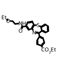 CCOCCNC(=O)c1ccc2c(c1)N=C(c1ccc(C(=O)OCC)cc1)c1ccccc1S2